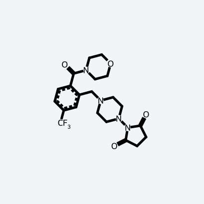 O=C(c1ccc(C(F)(F)F)cc1CN1CCN(N2C(=O)CCC2=O)CC1)N1CCOCC1